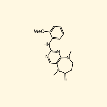 C=C1CCN(C)c2nc(Nc3ccccc3OC)ncc2N1C